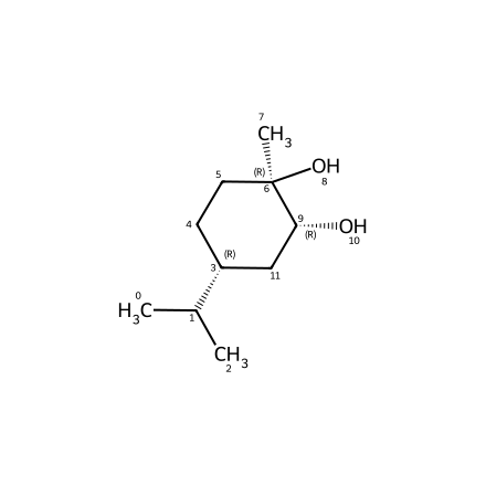 CC(C)[C@@H]1CC[C@@](C)(O)[C@H](O)C1